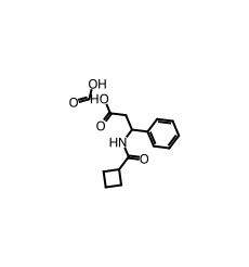 O=C(O)CC(NC(=O)C1CCC1)c1ccccc1.O=CO